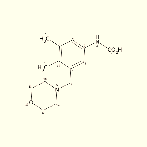 Cc1cc(NC(=O)O)cc(CN2CCOCC2)c1C